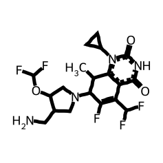 CC1c2c(c(=O)[nH]c(=O)n2C2CC2)C(C(F)F)=C(F)C1N1CC(CN)C(OC(F)F)C1